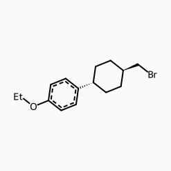 CCOc1ccc([C@H]2CC[C@H](CBr)CC2)cc1